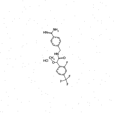 COC(C(=O)NCc1ccc(C(=N)N)cc1)c1ccc(C(F)(F)F)cc1F.Cl